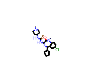 CN1CCC(NC(=S)NC2N=C(c3ccccc3)c3cc(Cl)ccc3N(C)C2=O)CC1